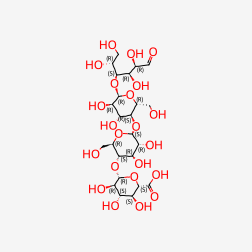 O=C[C@H](O)[C@@H](O)[C@@H](O[C@H]1O[C@H](CO)[C@@H](O[C@@H]2O[C@H](CO)[C@@H](O[C@@H]3O[C@H](C(=O)O)[C@@H](O)[C@H](O)[C@H]3O)[C@H](O)[C@H]2O)[C@H](O)[C@H]1O)[C@H](O)CO